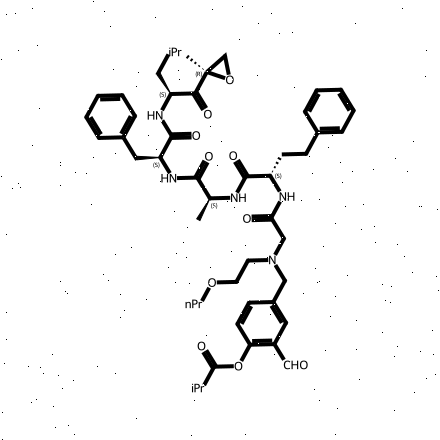 CCCOCCN(CC(=O)N[C@@H](CCc1ccccc1)C(=O)N[C@@H](C)C(=O)N[C@@H](Cc1ccccc1)C(=O)N[C@@H](CC(C)C)C(=O)[C@@]1(C)CO1)Cc1ccc(OC(=O)C(C)C)c(C=O)c1